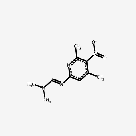 Cc1cc(/N=C/N(C)C)nc(C)c1[N+](=O)[O-]